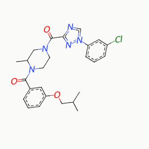 CC(C)COc1cccc(C(=O)N2CCN(C(=O)c3ncn(-c4cccc(Cl)c4)n3)CC2C)c1